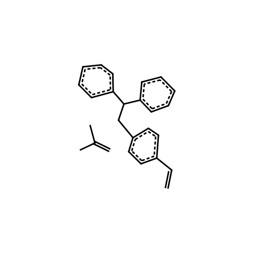 C=C(C)C.C=Cc1ccc(CC(c2ccccc2)c2ccccc2)cc1